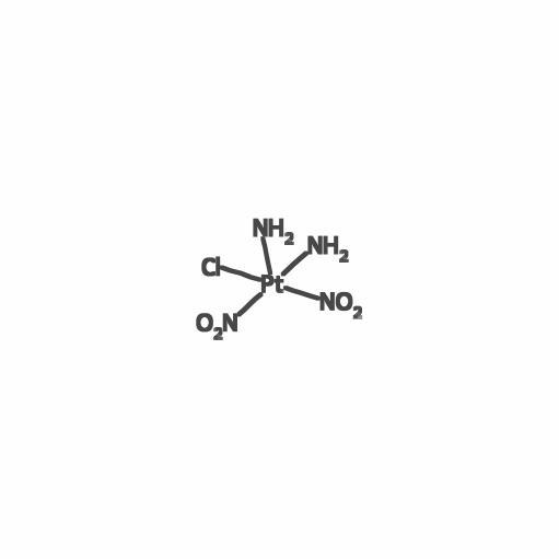 [NH2][Pt]([NH2])([Cl])([N+](=O)[O-])[N+](=O)[O-]